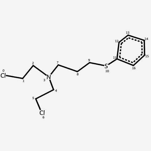 ClCCN(CCCl)CCCSc1ccccc1